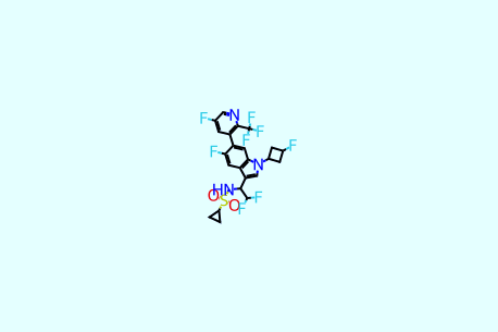 O=S(=O)(NC(c1cn(C2CC(F)C2)c2cc(-c3cc(F)cnc3C(F)(F)F)c(F)cc12)C(F)F)C1CC1